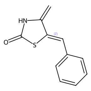 C=c1[nH]c(=O)s/c1=C\c1ccccc1